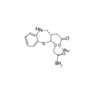 CC(C)(C)OC(=O)CC1CNc2ccccc2SC1OCC(N)=O